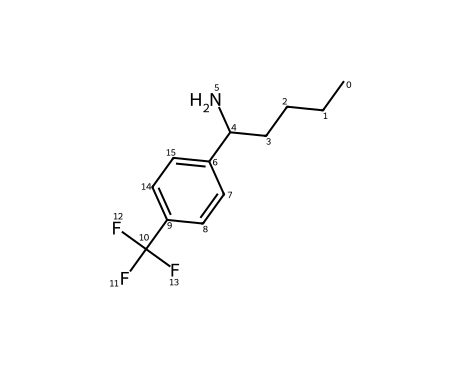 CCCCC(N)c1ccc(C(F)(F)F)cc1